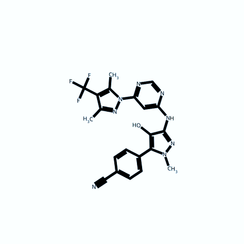 Cc1nn(-c2cc(Nc3nn(C)c(-c4ccc(C#N)cc4)c3O)ncn2)c(C)c1C(F)(F)F